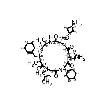 CCC[C@H]1C(=O)N[C@@H](C2CCCCC2)C(=O)N[C@@H](CN)C(=O)N[C@@H](CO[C@H]2C[C@H](N)C2)C(=O)N[C@H](C)CO[C@H](CC2CCCCC2)[C@@H](C)C(=O)N1C